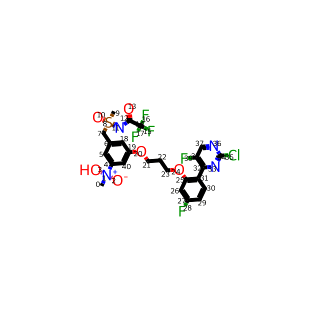 C[N+]([O-])(O)c1cc(CS(C)(=O)=NC(=O)C(F)(F)F)cc(OCCCOc2cc(F)ccc2-c2nc(Cl)ncc2F)c1